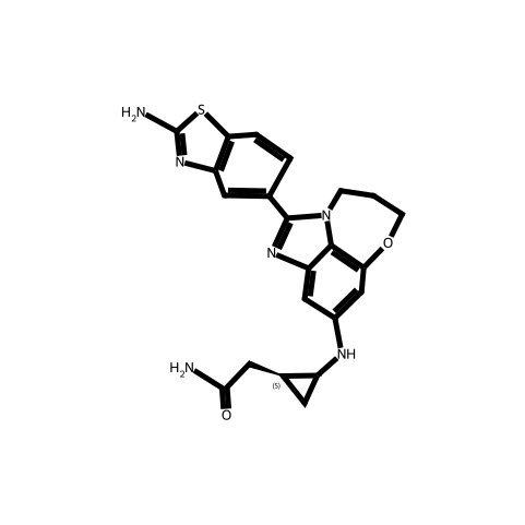 NC(=O)C[C@@H]1C[C]1Nc1cc2c3c(c1)nc(-c1ccc4sc(N)nc4c1)n3CCCO2